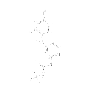 CC(C)(C)OC(=O)Nc1cc(Oc2ccc(F)cc2F)ccn1